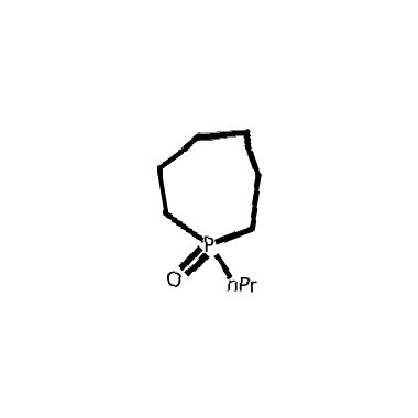 CCCP1(=O)CCCCCC1